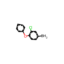 Bc1ccc(Oc2ccccc2)c(Cl)c1